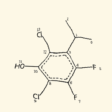 CC(C)c1c(F)c(F)c(Cl)c(O)c1Cl